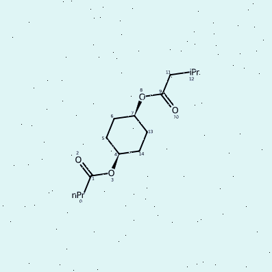 CCCC(=O)O[C@H]1CC[C@@H](OC(=O)CC(C)C)CC1